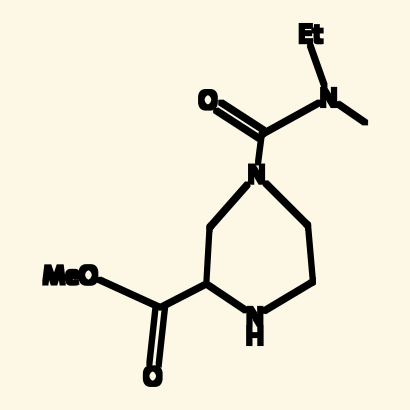 CCN(C)C(=O)N1CCNC(C(=O)OC)C1